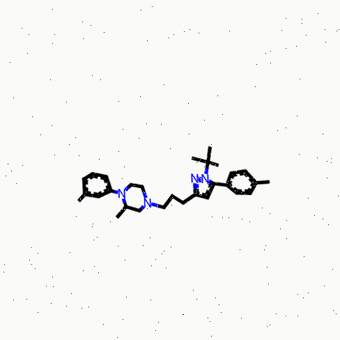 Cc1ccc(-c2cc(CCCN3CCN(c4cccc(C)c4)C(C)C3)nn2C(C)(C)C)cc1